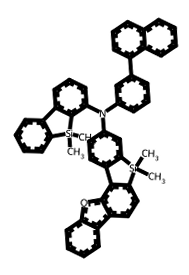 C[Si]1(C)c2cc(N(c3cccc(-c4cccc5ccccc45)c3)c3cccc4c3[Si](C)(C)c3ccccc3-4)ccc2-c2c1ccc1c2oc2ccccc21